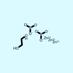 OCCO.[O-]B([O-])[O-].[O-]B([O-])[O-].[Zn+2].[Zn+2].[Zn+2]